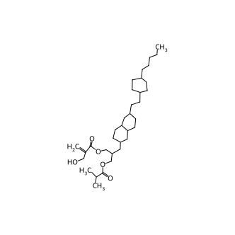 C=C(CO)C(=O)OCC(COC(=O)C(C)C)CC1CCC2CC(CCC3CCC(CCCCC)CC3)CCC2C1